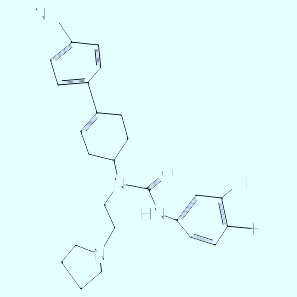 N#Cc1ccc(C2=CCC(N(CCN3CCCC3)C(=O)Nc3ccc(F)c(C(F)(F)F)c3)CC2)cc1